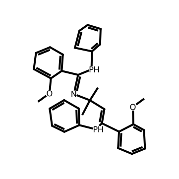 COc1ccccc1C(=CC(C)(C)N=C(Pc1ccccc1)c1ccccc1OC)Pc1ccccc1